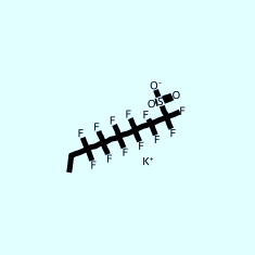 CCC(F)(F)C(F)(F)C(F)(F)C(F)(F)C(F)(F)C(F)(F)S(=O)(=O)[O-].[K+]